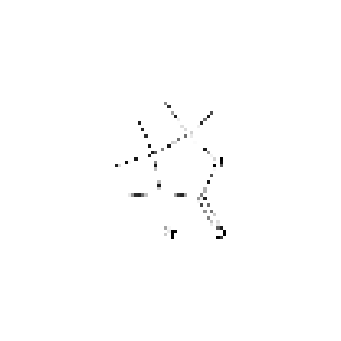 CC(C)C1(C)C(=O)OC(C)(C)C1(C)C